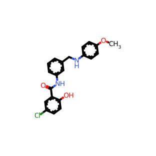 COc1ccc(NCc2cccc(NC(=O)c3cc(Cl)ccc3O)c2)cc1